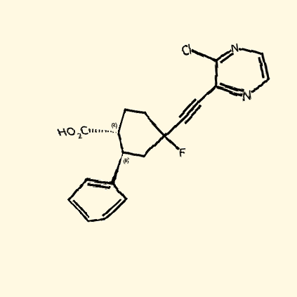 O=C(O)[C@@H]1CCC(F)(C#Cc2nccnc2Cl)C[C@H]1c1ccccc1